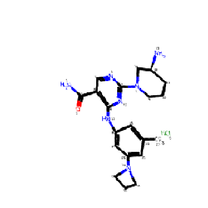 Cl.NC(=O)c1cnc(N2CCC[C@H](N)C2)nc1Nc1cc(N2CCC2)cc(C(F)(F)F)c1